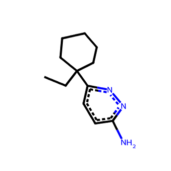 CCC1(c2ccc(N)nn2)CCCCC1